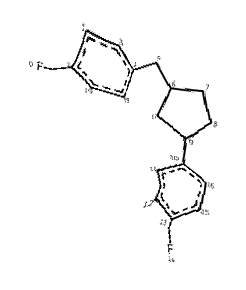 Fc1ccc(CC2CCC(c3ccc(F)cc3)C2)cc1